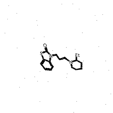 CCC1CCCCN1CCCn1c(=O)sc2ccccc21